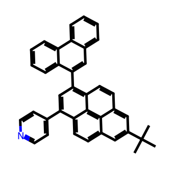 CC(C)(C)c1cc2ccc3c(-c4ccncc4)cc(-c4cc5ccccc5c5ccccc45)c4ccc(c1)c2c34